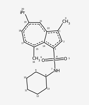 Cc1cc(S(=O)(=O)NC2CCCCC2)c2c(C)ccc(C(C)C)cc1-2